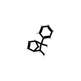 CC1C2C=CC(C2)C1(C)c1ccccc1